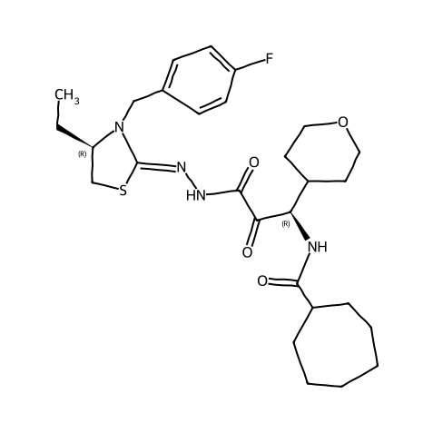 CC[C@@H]1CSC(=NNC(=O)C(=O)[C@H](NC(=O)C2CCCCCC2)C2CCOCC2)N1Cc1ccc(F)cc1